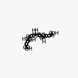 Cc1cc(S(=O)(=O)Nc2cc3ccc(S(=O)(=O)O)cc3cc2O)ccc1NC(=O)Nc1ccc(S(=O)(=O)Nc2cc3ccc(S(=O)(=O)O)cc3cc2O)cc1C